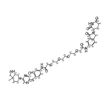 CC1(CN)CCN(c2cnc(Sc3ccc(NC(=O)COCCOCCOCCOCC(=O)Nc4ccc5c(c4)C(=O)N(C4CCC(=O)NC4=O)C5)cc3Cl)cn2)CC1